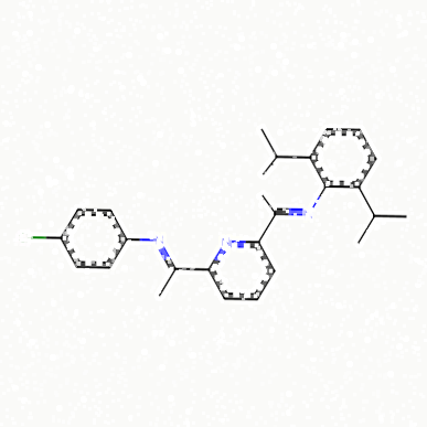 C/C(=N\c1ccc(Cl)cc1)c1cccc(/C(C)=N/c2c(C(C)C)cccc2C(C)C)n1